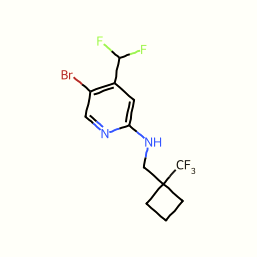 FC(F)c1cc(NCC2(C(F)(F)F)CCC2)ncc1Br